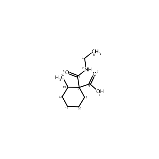 CCNC(=O)C1(C(=O)O)CCCCC1C